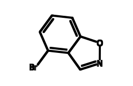 Brc1cccc2oncc12